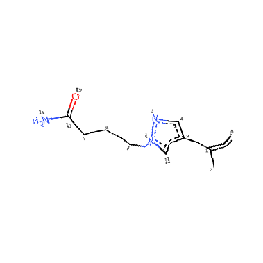 C=C(C)c1cnn(CCCC(N)=O)c1